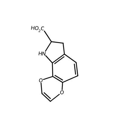 O=C(O)C1Cc2ccc3c(c2N1)OC=CO3